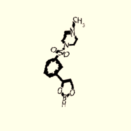 CN1CCN(S(=O)(=O)c2cccc(C3COBO3)c2)CC1